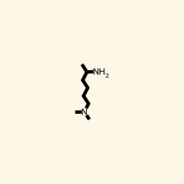 CC(N)CCCCN(C)C